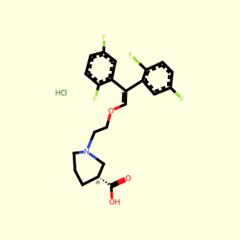 Cl.O=C(O)[C@@H]1CCCN(CCOC=C(c2cc(F)ccc2F)c2cc(F)ccc2F)C1